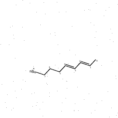 C/C=C/C=C/CCCCCCC